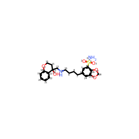 NS(=O)(=O)c1cc(CCCCNCC2(O)CCOc3ccccc32)cc2c1OCO2